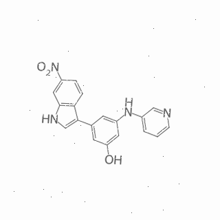 O=[N+]([O-])c1ccc2c(-c3cc(O)cc(Nc4cccnc4)c3)c[nH]c2c1